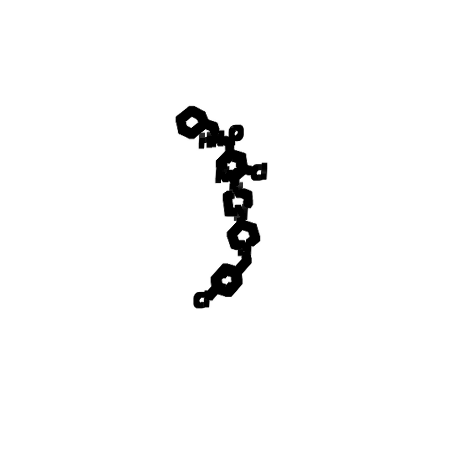 O=C(NCC1CCCCC1)c1cnc(N2CCN(C3CCN(Cc4ccc(Cl)cc4)CC3)CC2)c(Cl)c1